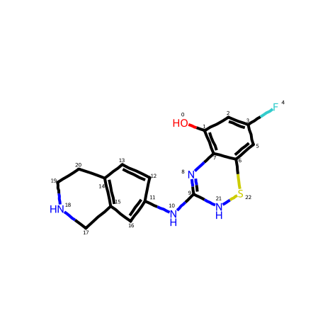 Oc1cc(F)cc2c1N=C(Nc1ccc3c(c1)CNCC3)NS2